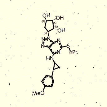 CCCSc1nc(NC2CC2c2ccc(OC)cc2)c2nnn([C@H]3C[C@@H](O)[C@H](O)[C@@H]3O)c2n1